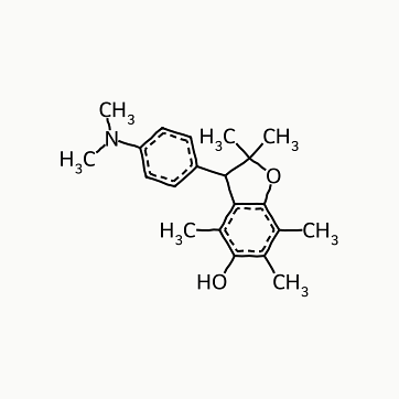 Cc1c(C)c2c(c(C)c1O)C(c1ccc(N(C)C)cc1)C(C)(C)O2